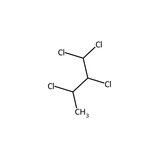 CC(Cl)C(Cl)C(Cl)Cl